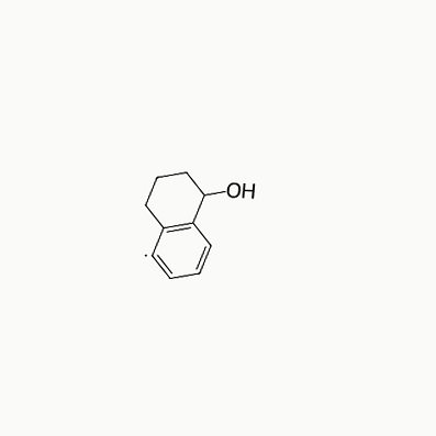 OC1CCCc2[c]cccc21